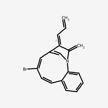 C=C/C=c1\c(=C)n2cc1cc(Br)ccc1ccccc12